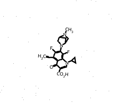 C=Cc1c(F)c(N2CC3CC2CN3C)c(F)c2c1c(=O)c(C(=O)O)cn2C1CC1